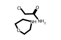 C1COCCN1.NC(=O)CCl